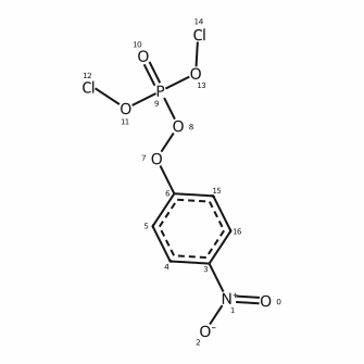 O=[N+]([O-])c1ccc(OOP(=O)(OCl)OCl)cc1